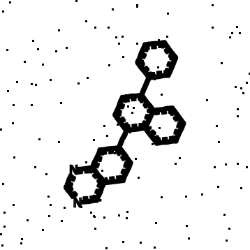 [c]1ncnc2cc(-c3ccc(-c4ccccc4)c4ccccc34)ccc12